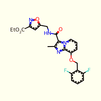 CCOC(=O)c1cc(CNC(=O)c2c(C)nc3c(OCc4c(F)cccc4F)cccn23)on1